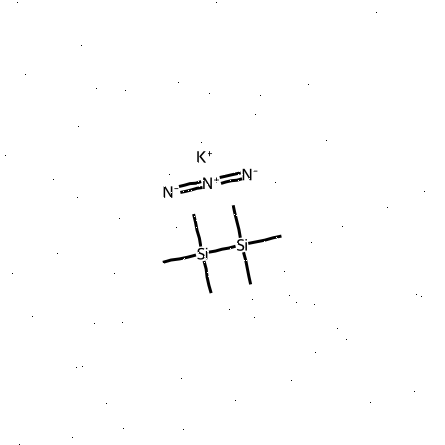 C[Si](C)(C)[Si](C)(C)C.[K+].[N-]=[N+]=[N-]